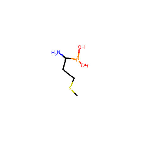 CSCCC(N)P(O)O